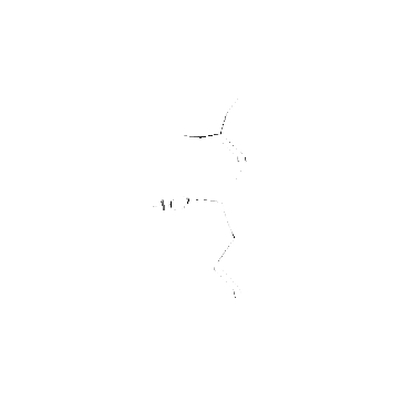 C=CCC(O)C=C(C)C